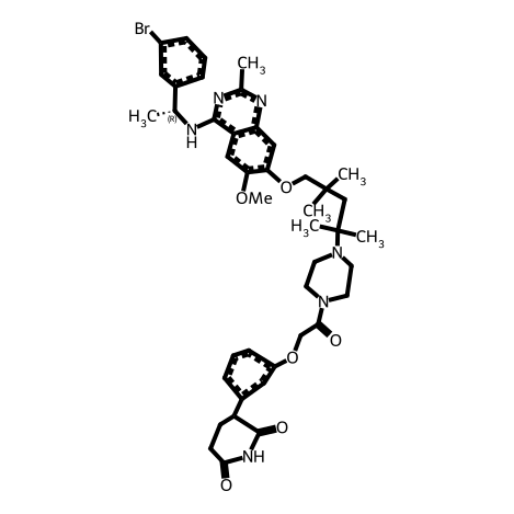 COc1cc2c(N[C@H](C)c3cccc(Br)c3)nc(C)nc2cc1OCC(C)(C)CC(C)(C)N1CCN(C(=O)COc2cccc(C3CCC(=O)NC3=O)c2)CC1